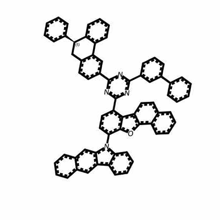 c1ccc(-c2cccc(-c3nc(-c4ccc5c(c4)-c4ccccc4[C@H](c4ccccc4)C5)nc(-c4ccc(-n5c6ccccc6c6cc7ccccc7cc65)c5oc6c7ccccc7ccc6c45)n3)c2)cc1